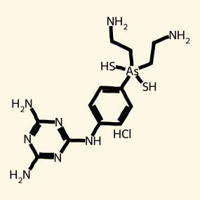 Cl.NCC[As](S)(S)(CCN)c1ccc(Nc2nc(N)nc(N)n2)cc1